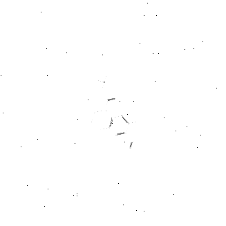 C=Cc1cc2c(cc1F)N(C(=O)OC(C)(C)C)CCO2